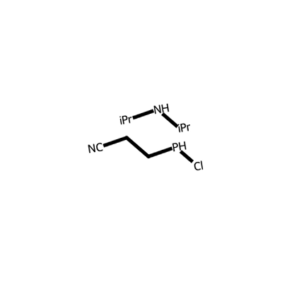 CC(C)NC(C)C.N#CCCPCl